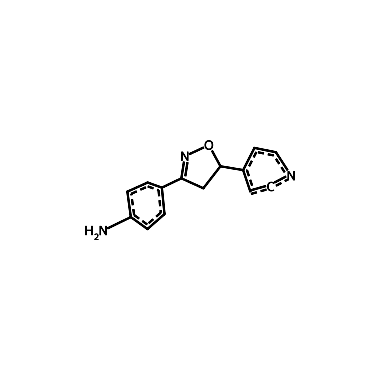 Nc1ccc(C2=NOC(c3ccncc3)C2)cc1